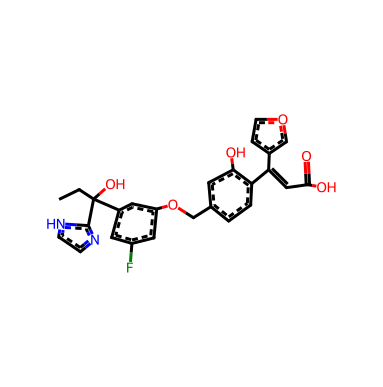 CCC(O)(c1cc(F)cc(OCc2ccc(C(=CC(=O)O)c3ccoc3)c(O)c2)c1)c1ncc[nH]1